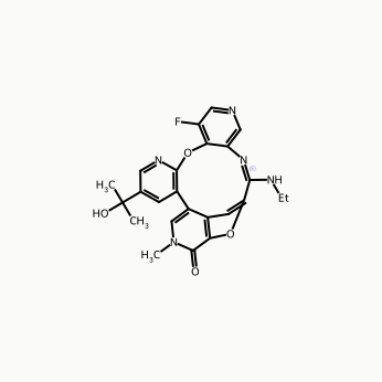 CCN/C1=N/c2cncc(F)c2Oc2ncc(C(C)(C)O)cc2-c2cn(C)c(=O)c3oc1cc23